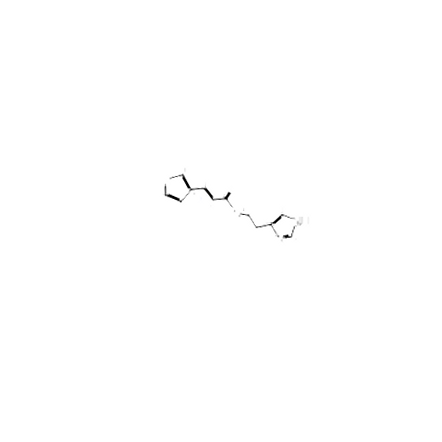 O=C(/C=C/c1ccsc1)NCCc1c[nH]cn1